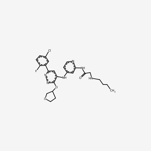 CCCCNCC(=O)Nc1cc(Nc2cc(-c3cc(Cl)ccc3F)nnc2OC2CCOC2)ccn1